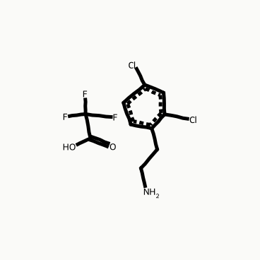 NCCc1ccc(Cl)cc1Cl.O=C(O)C(F)(F)F